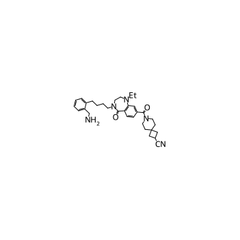 CCN1CCN(CCCCc2ccccc2CN)C(=O)c2ccc(C(=O)N3CCC4(CC3)CC(C#N)C4)cc21